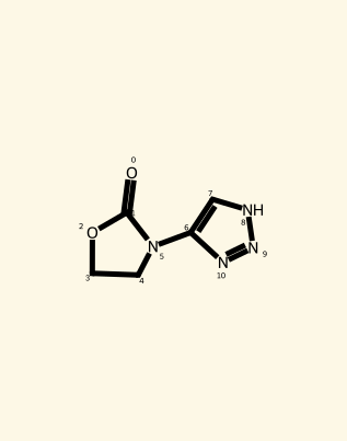 O=C1OCCN1c1c[nH]nn1